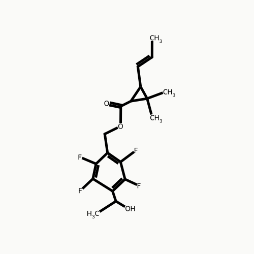 CC=CC1C(C(=O)OCc2c(F)c(F)c(C(C)O)c(F)c2F)C1(C)C